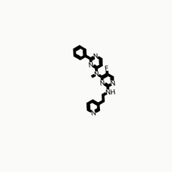 CN(c1ccnc(-c2ccccc2)n1)c1nc(NCCc2cccnc2)ncc1F